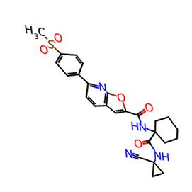 CS(=O)(=O)c1ccc(-c2ccc3cc(C(=O)NC4(C(=O)NC5(C#N)CC5)CCCCC4)oc3n2)cc1